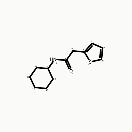 O=C(Cc1cccs1)NC1CCCCC1